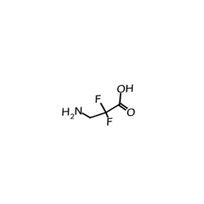 NCC(F)(F)C(=O)O